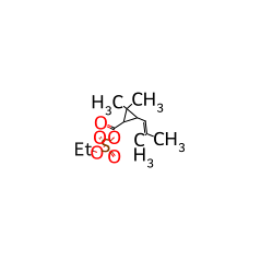 CCOS(=O)(=O)OC(=O)C1C(C=C(C)C)C1(C)C